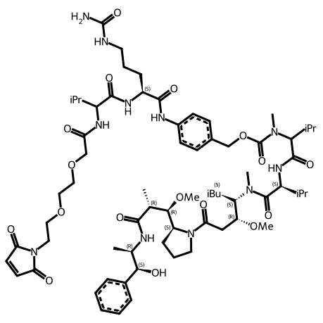 CC[C@H](C)[C@@H]([C@@H](CC(=O)N1CCC[C@H]1[C@H](OC)[C@@H](C)C(=O)N[C@H](C)[C@@H](O)c1ccccc1)OC)N(C)C(=O)[C@@H](NC(=O)C(C(C)C)N(C)C(=O)OCc1ccc(NC(=O)[C@H](CCCNC(N)=O)NC(=O)C(NC(=O)COCCOCCN2C(=O)C=CC2=O)C(C)C)cc1)C(C)C